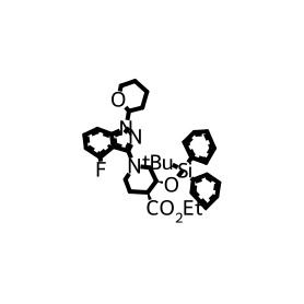 CCOC(=O)[C@H]1CCN(c2nn(C3CCCCO3)c3cccc(F)c23)C[C@@H]1O[Si](c1ccccc1)(c1ccccc1)C(C)(C)C